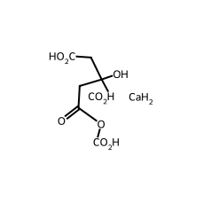 O=C(O)CC(O)(CC(=O)OC(=O)O)C(=O)O.[CaH2]